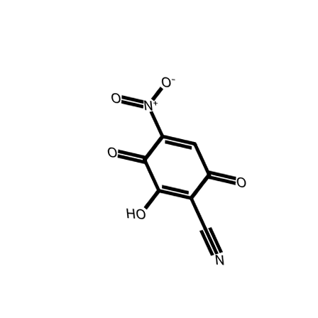 N#CC1=C(O)C(=O)C([N+](=O)[O-])=CC1=O